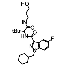 CC(C)(C)C(NC(=O)c1nn(CC2CCCCC2)c2ccc(F)cc12)C(=O)NCCCO